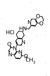 COc1ccc2ncc(=O)n(-c3cnc4c(c3)CCC(NCc3cc5c(cn3)OCCO5)C4)c2n1.Cl